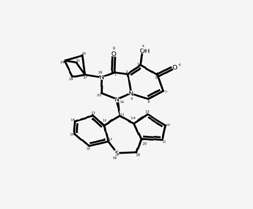 O=C1c2c(O)c(=O)ccn2N([C@@H]2c3ccccc3SCC3=CC=CC32)CN1C12CC(C1)C2